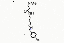 CNCCC(=O)NCCCCO/N=C/c1ccc(C(C)=O)cc1